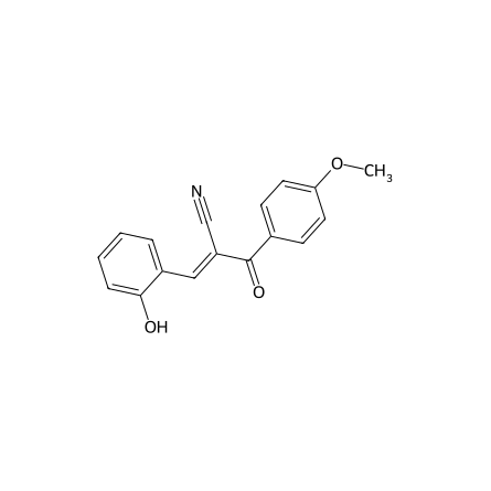 COc1ccc(C(=O)C(C#N)=Cc2ccccc2O)cc1